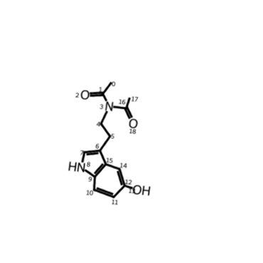 CC(=O)N(CCc1c[nH]c2ccc(O)cc12)C(C)=O